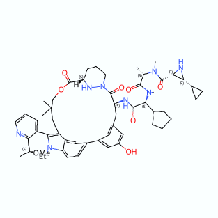 CCn1c(-c2cccnc2[C@H](C)OC)c2c3cc(ccc31)-c1cc(O)cc(c1)C[C@H](NC(=O)[C@H](C1CCCC1)N(C)C(=O)[C@H](C)N(C)C(=O)[C@@H]1N[C@@H]1C1CC1)C(=O)N1CCC[C@H](N1)C(=O)OCC(C)(C)C2